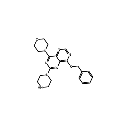 c1ccc(CSc2ncnc3c(N4CCOCC4)nc(N4CCNCC4)nc23)cc1